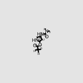 CN(C)C(=O)N[C@H]1CNC(OC(=O)C(C)(C)C)C1